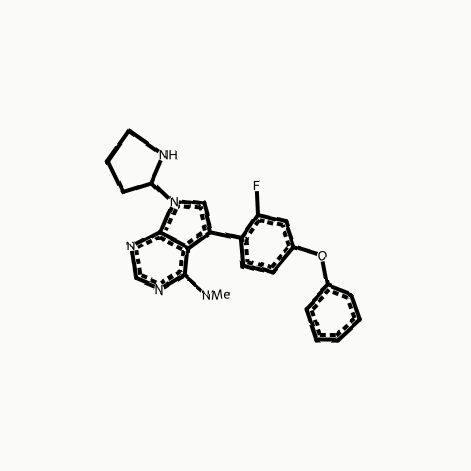 CNc1ncnc2c1c(-c1ccc(Oc3ccccc3)cc1F)cn2C1CCCN1